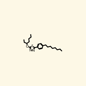 CCCCCCCCc1ccc(-c2nnc(OC(CC)CCCC)s2)cc1